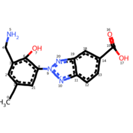 Cc1cc(CN)c(O)c(-n2nc3ccc(C(=O)O)cc3n2)c1